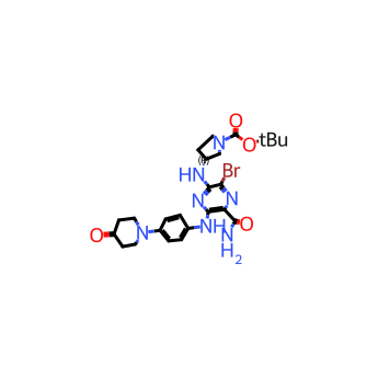 CC(C)(C)OC(=O)N1CC[C@@H](Nc2nc(Nc3ccc(N4CCC(=O)CC4)cc3)c(C(N)=O)nc2Br)C1